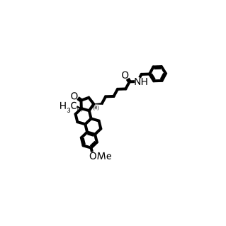 COc1ccc2c(c1)CCC1C2CC[C@]2(C)C(=O)C[C@@H](CCCCCC(=O)NCc3ccccc3)C12